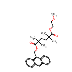 COCCOC(=O)C(C)(C)CCC(C)(C)C(=O)OCc1c2ccccc2cc2ccccc12